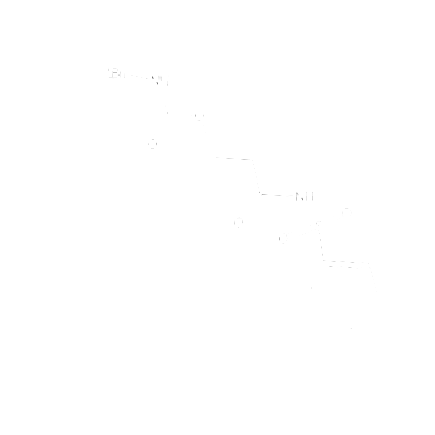 CC(C)(C)NC(=O)OCCC(=O)NS(=O)(=O)c1ccccc1